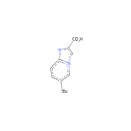 CC(C)(C)c1ccc2nc(C(=O)O)cn2c1